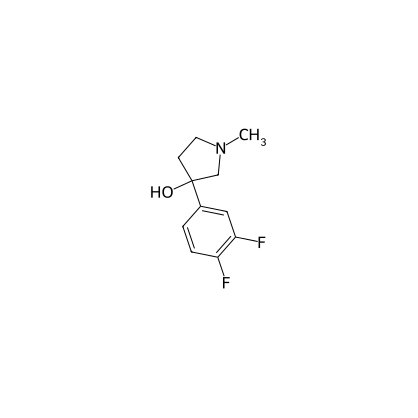 CN1CCC(O)(c2ccc(F)c(F)c2)C1